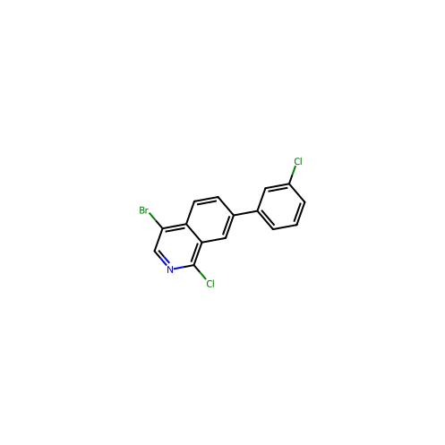 Clc1cccc(-c2ccc3c(Br)cnc(Cl)c3c2)c1